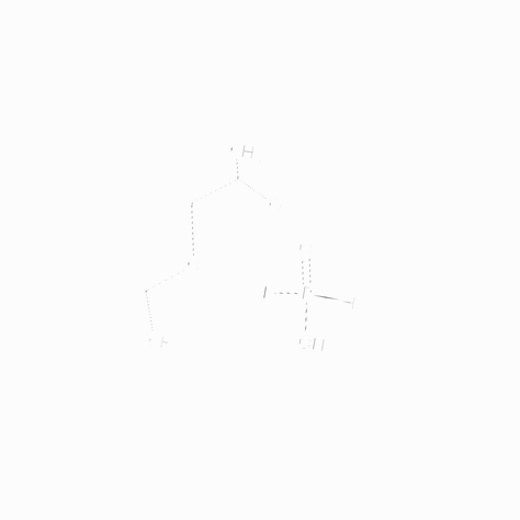 CC(O)COCC(F)(F)F.O=P(O)(F)F